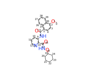 COc1ccc(C(=O)Nc2cccnc2C(=O)NOC2CCCCC2)c2ccccc12